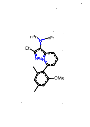 CCCN(CCC)c1c(CC)nn2c(-c3c(C)cc(C)cc3OC)cccc12